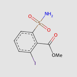 COC(=O)c1c(I)cccc1S(N)(=O)=O